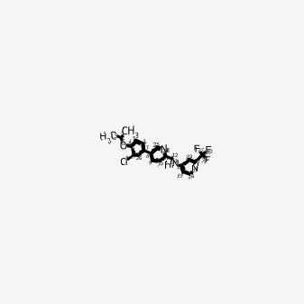 CC(C)Oc1ccc(-c2ccc(CNc3ccnc(C(F)(F)F)c3)nc2)cc1Cl